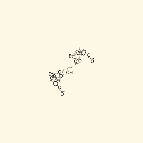 CCC1(C)CC2(OCC(CCCCC(O)CC3COC4(CC(C)(CC)N(OC(C)c5ccc(OCC6CO6)cc5)C(C)(CC)C4C)O3)O2)C(C)C(C)(CC)N1OC(C)c1ccc(OCC2CO2)cc1